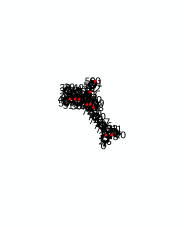 Cc1ccc2c(c1)c1cc(C)ccc1n2-c1ccc(-c2ccc(-c3ccc(N(c4ccc5c(c4)C4(c6ccccc6-c6ccccc64)c4ccccc4-5)c4ccc(-c5ccccc5)cc4-c4ccccc4)cc3)cc2)cc1